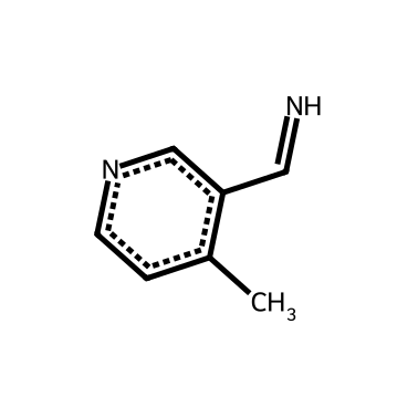 Cc1ccncc1C=N